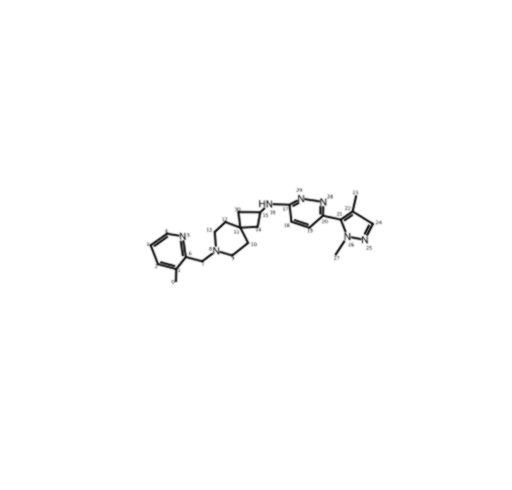 Cc1cccnc1CN1CCC2(CC1)CC(Nc1ccc(-c3c(C)cnn3C)nn1)C2